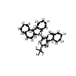 CC(C)(C)c1nc(-n2c3ccccc3c3c4ccccc4ccc32)c2sc3ccccc3c2n1